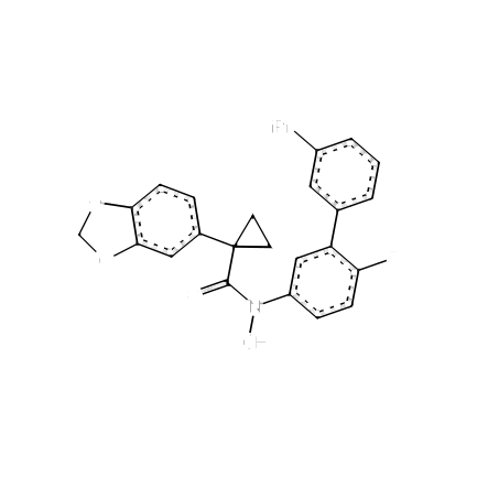 CC(C)c1cccc(-c2cc(N(C)C(=O)C3(c4ccc5c(c4)OCO5)CC3)ccc2F)c1